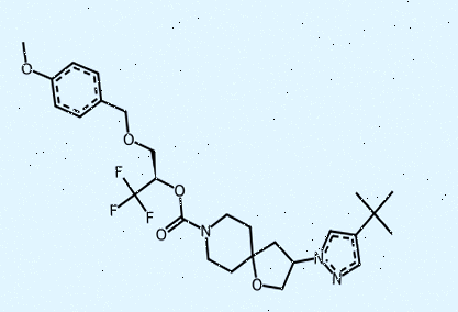 COc1ccc(COC[C@@H](OC(=O)N2CCC3(CC2)CC(n2cc(C(C)(C)C)cn2)CO3)C(F)(F)F)cc1